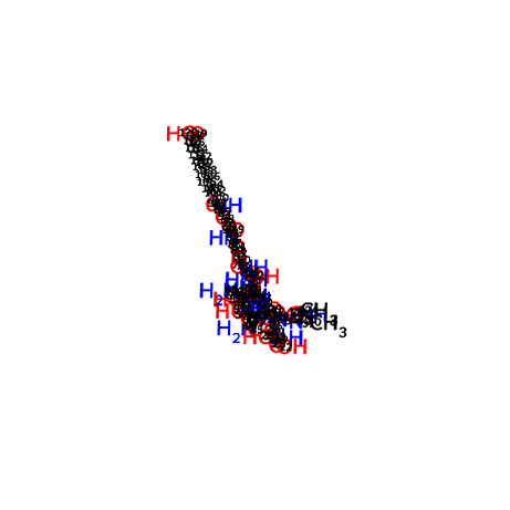 CCCCC(NC(=O)CCNC(=O)C(CCCCN(CC(=O)O)CC(=O)O)NC(=O)C(Cc1c[nH]cn1)NC(=O)C(CCC(N)=O)NC(=O)[C@H](CO)NC(=O)[C@H](CO)NC(=O)[C@H](CCC(N)=O)NC(=O)[C@@H](CO)NC(=O)CNC(=O)COCCOCCNC(=O)COCCOCCNC(=O)CCCCCCCCCCCCCCCCCCC(=O)O)C(=O)NC